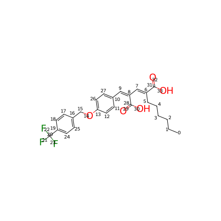 CCCCCCC(=CC(=Cc1ccc(OCc2ccc(C(F)(F)F)cc2)cc1)C(=O)O)C(=O)O